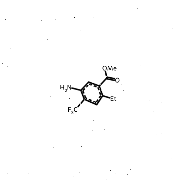 CCc1cc(C(F)(F)F)c(N)cc1C(=O)OC